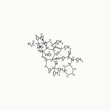 CC1=C[C@]23C(=O)[C@@H](C=C4COC(C)(C)O[C@H]4[C@]2(O)[C@H]1OC(=O)N(C)C1CCCCC1)[C@H]1[C@@H](C[C@H]3C)C1(C)C